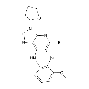 COc1cccc(Nc2nc(Br)nc3c2ncn3C2CCCO2)c1Br